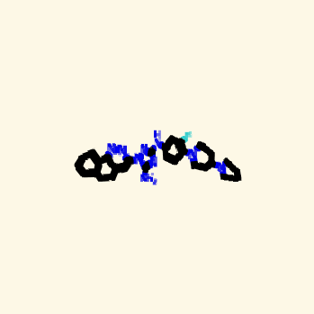 Nc1nc(Nc2ccc(N3CCC(N4CCCC4)CC3)c(F)c2)nn1-c1cc2c(nn1)-c1ccccc1CC2